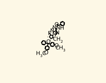 C=C1[C@@H](n2cnc3c(NC(=O)c4ccccc4)ncnc32)C(F)[CH][C@H]1COC(c1ccccc1)(c1ccc(OC)cc1)c1ccc(OC)cc1